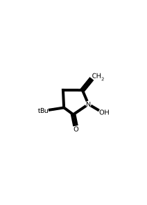 C=C1CC(C(C)(C)C)C(=O)N1O